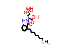 CCCCCCCCc1ccccc1C(=O)N[C@@H](CCS(=O)(=O)O)C(=O)O